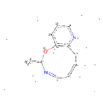 C=C1/N=C\C=C/Cc2ncccc2O1